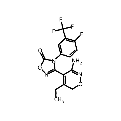 CCC1=C(c2noc(=O)n2-c2ccc(F)c(C(F)(F)F)c2)C(N)=NOC1